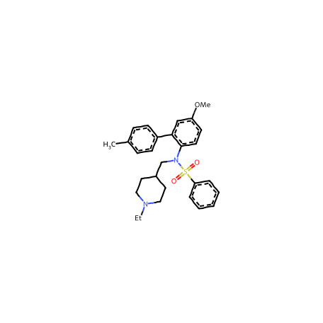 CCN1CCC(CN(c2ccc(OC)cc2-c2ccc(C)cc2)S(=O)(=O)c2ccccc2)CC1